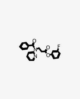 O=C(CCN(C(=O)C1=CC=C=C=C1)c1ccccn1)Oc1cccc(F)c1